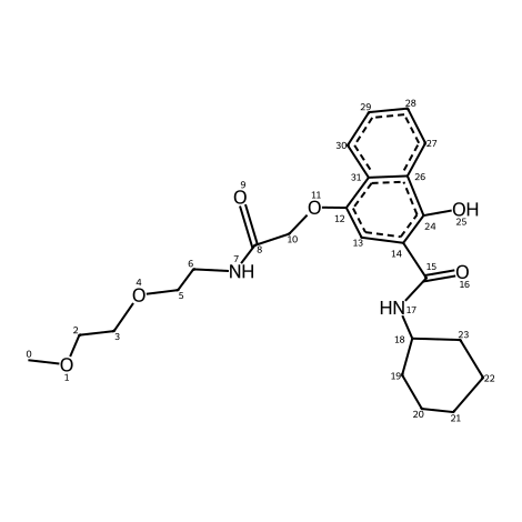 COCCOCCNC(=O)COc1cc(C(=O)NC2CCCCC2)c(O)c2ccccc12